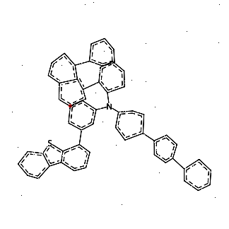 c1ccc(-c2ccc(-c3ccc(N(c4cccc(-c5cccc6c5sc5ccccc56)c4)c4ccccc4-c4cccc5cccc(-c6ccccc6)c45)cc3)cc2)cc1